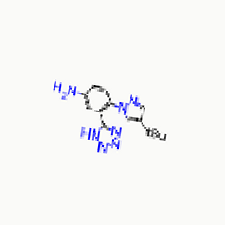 CC(C)(C)c1cnn(-c2ccc(N)cc2-c2nnn[nH]2)c1